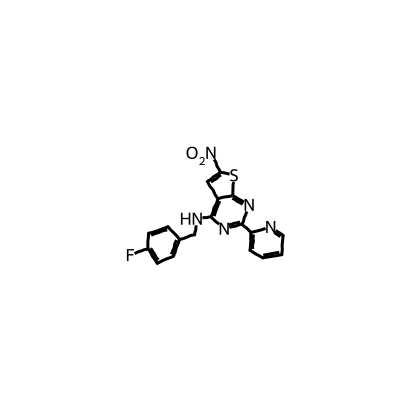 O=[N+]([O-])c1cc2c(NCc3ccc(F)cc3)nc(-c3ccccn3)nc2s1